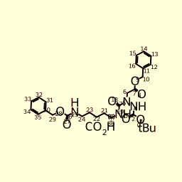 CC(C)(C)OC(=O)NN(CC(=O)OCc1ccccc1)C(=O)N[C@@H](CCCCNC(=O)OCc1ccccc1)C(=O)O